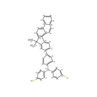 CC1(C)c2cc(-c3ccc(N(c4ccc(F)cc4)c4ccc(F)cc4)cc3)ccc2-c2c1ccc1c2ccc2ccccc21